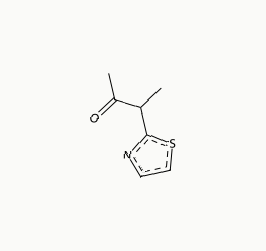 CC(=O)C(C)c1nccs1